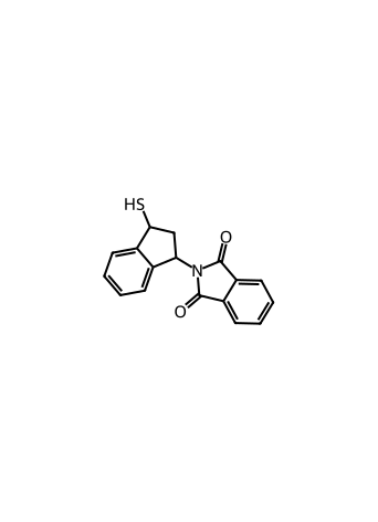 O=C1c2ccccc2C(=O)N1C1CC(S)c2ccccc21